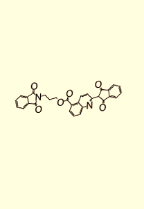 O=C(OCCCN1C(=O)c2ccccc2C1=O)c1cccc2nc(C3C(=O)c4ccccc4C3=O)ccc12